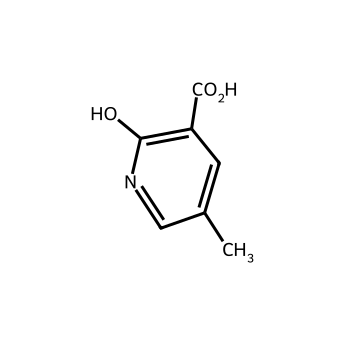 Cc1cnc(O)c(C(=O)O)c1